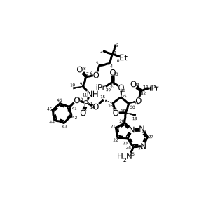 CCC(C)(C)CCOC(=O)[C@H](C)NP(=O)(OC[C@H]1O[C@@](C)(c2ccc3c(N)ncnn23)[C@H](OC(=O)C(C)C)[C@@H]1OC(=O)C(C)C)Oc1ccccc1